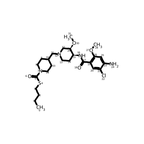 CCCCSC(=O)N1CCC(CN2CC[C@H](NC(=O)c3cc(Cl)c(N)cc3OC)[C@H](OC)C2)CC1